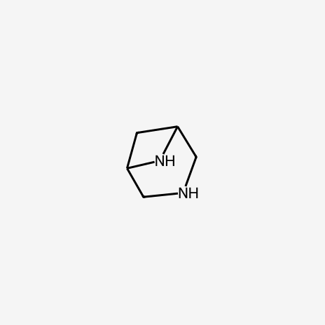 C1NCC2CC1N2